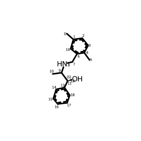 Cc1ccc(C)c(CNC(C)[C@@H](O)c2ccccc2)c1